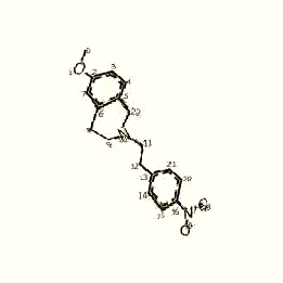 COc1ccc2c(c1)CCN(CCc1ccc([N+](=O)[O-])cc1)C2